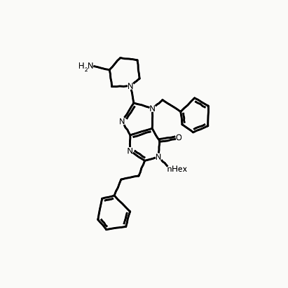 CCCCCCn1c(CCc2ccccc2)nc2nc(N3CCCC(N)C3)n(Cc3ccccc3)c2c1=O